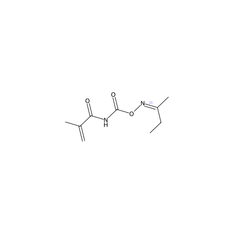 C=C(C)C(=O)NC(=O)O/N=C(/C)CC